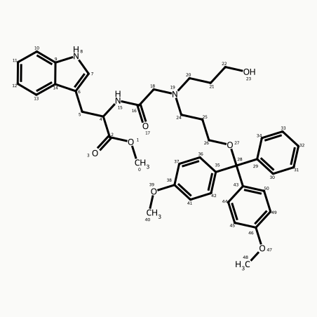 COC(=O)C(Cc1c[nH]c2ccccc12)NC(=O)CN(CCCO)CCCOC(c1ccccc1)(c1ccc(OC)cc1)c1ccc(OC)cc1